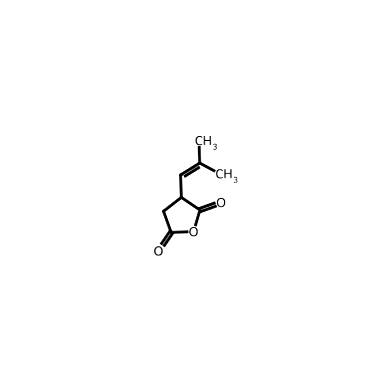 CC(C)=CC1CC(=O)OC1=O